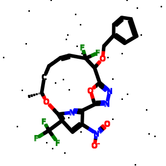 C[C@@H]1CCC=CC(F)(F)C(OCc2ccccc2)c2nnc(o2)-c2nc(c(C(F)(F)F)cc2[N+](=O)[O-])O1